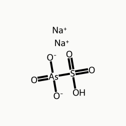 O=S(=O)(O)[As](=O)([O-])[O-].[Na+].[Na+]